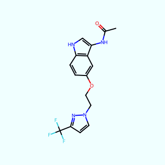 CC(=O)Nc1c[nH]c2ccc(OCCn3ccc(C(F)(F)F)n3)cc12